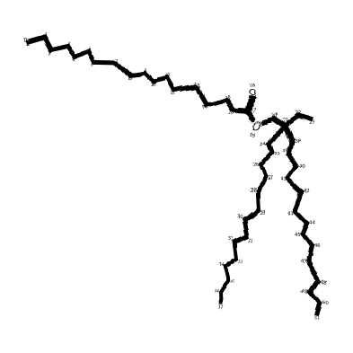 CCCCCCCCCCCCCCCCCC(=O)OCC(CC)(CCCCCCCCCCCCCC)CCCCCCCCCCCCCC